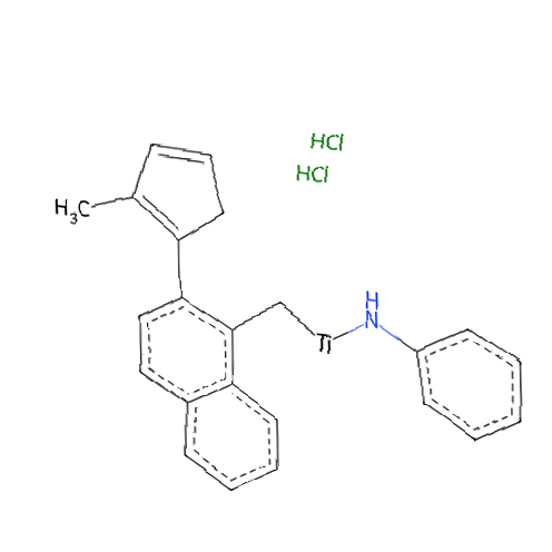 CC1=C(c2ccc3ccccc3c2[CH2][Ti][NH]c2ccccc2)CC=C1.Cl.Cl